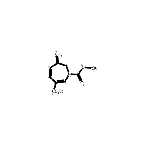 C=C1C=CC(C(=O)OCC)=CN(C(=O)OC(C)(C)C)C1